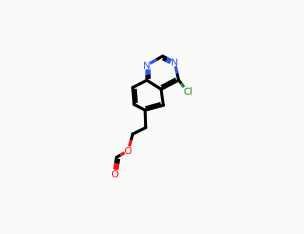 O=COCCc1ccc2ncnc(Cl)c2c1